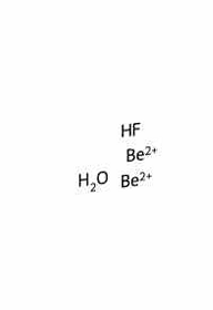 F.O.[Be+2].[Be+2]